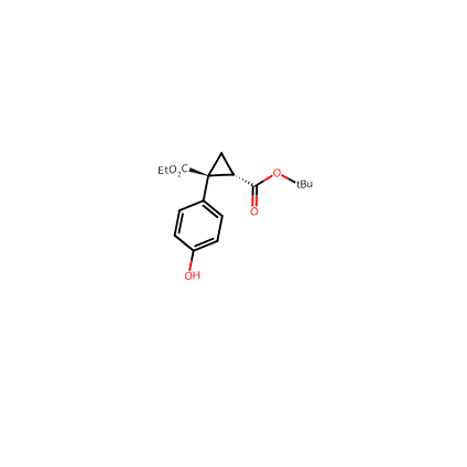 CCOC(=O)[C@@]1(c2ccc(O)cc2)C[C@@H]1C(=O)OC(C)(C)C